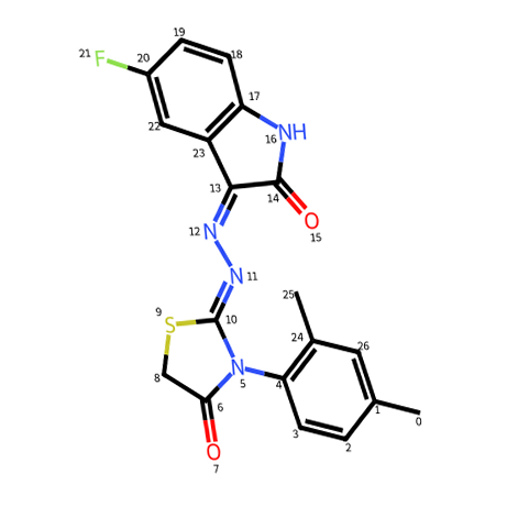 Cc1ccc(N2C(=O)CSC2=NN=C2C(=O)Nc3ccc(F)cc32)c(C)c1